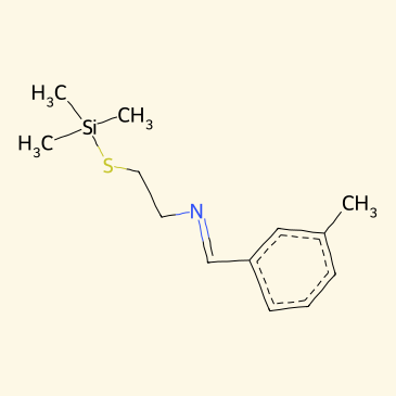 Cc1cccc(C=NCCS[Si](C)(C)C)c1